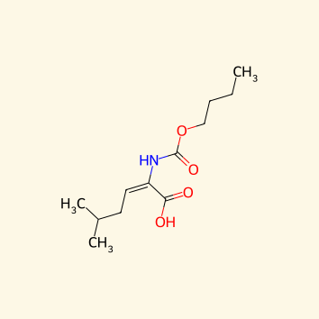 CCCCOC(=O)NC(=CCC(C)C)C(=O)O